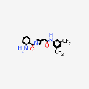 NC1CCCCC1C(=O)N1CC(CC(=O)Nc2cc(C(F)(F)F)cc(C(F)(F)F)c2)C1